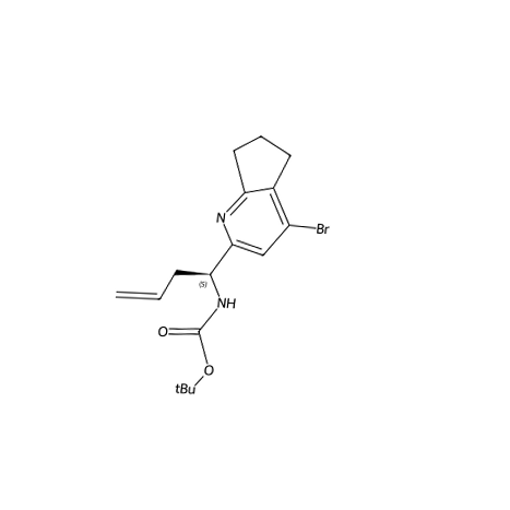 C=CC[C@H](NC(=O)OC(C)(C)C)c1cc(Br)c2c(n1)CCC2